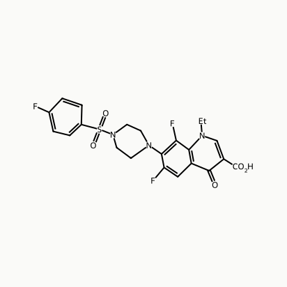 CCn1cc(C(=O)O)c(=O)c2cc(F)c(N3CCN(S(=O)(=O)c4ccc(F)cc4)CC3)c(F)c21